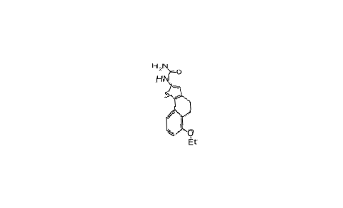 CCOc1cccc2c1CCc1cc(NC(N)=O)sc1-2